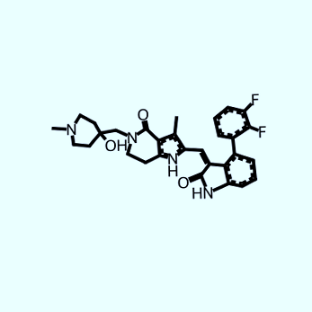 Cc1c(C=C2C(=O)Nc3cccc(-c4cccc(F)c4F)c32)[nH]c2c1C(=O)N(CC1(O)CCN(C)CC1)CC2